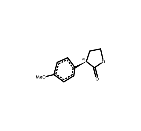 COc1ccc([C@H]2CCOC2=O)cc1